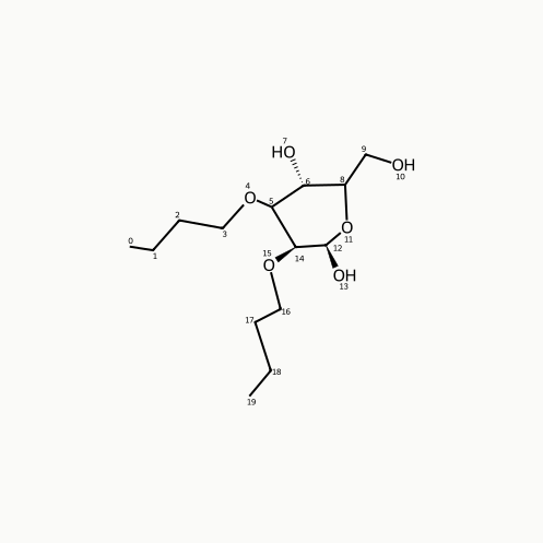 CCCCOC1[C@H](O)C(CO)O[C@@H](O)[C@H]1OCCCC